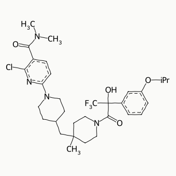 CC(C)Oc1cccc(C(O)(C(=O)N2CCC(C)(CC3CCN(c4ccc(C(=O)N(C)C)c(Cl)n4)CC3)CC2)C(F)(F)F)c1